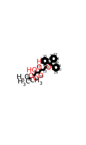 CC(C)(C)OC(=O)C(O)C(=O)C(O)CCOC(c1ccccc1)(c1ccccc1)c1ccccc1